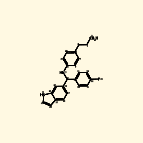 O=C(O)CCc1ccc(NC(c2ccc(F)cc2)c2ccc3cc[nH]c3c2)cc1